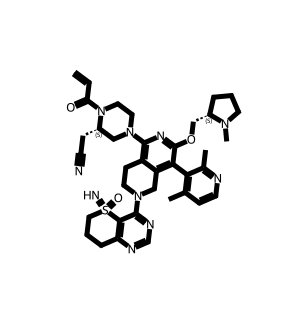 C=CC(=O)N1CCN(c2nc(OC[C@@H]3CCCN3C)c(-c3c(C)ccnc3C)c3c2CCN(c2ncnc4c2S(=N)(=O)CCC4)C3)C[C@@H]1CC#N